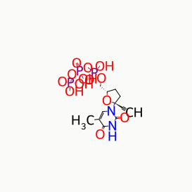 C#C[C@]1(n2cc(C)c(=O)[nH]c2=O)CC[C@@H](COP(=O)(O)OP(=O)(O)OP(=O)(O)O)O1